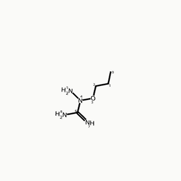 CCCON(N)C(=N)N